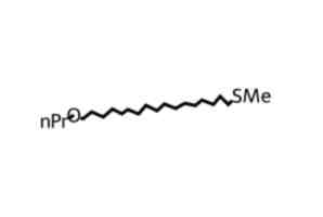 CCCOCCCCCCCCCCCCCCCCCSC